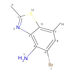 Cc1nc2c(N)c(Br)cc(C)c2s1